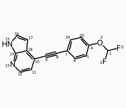 FC(F)Oc1ccc(C#Cc2ccnc3[nH]ccc23)cc1